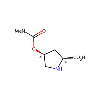 CNC(=O)O[C@@H]1CN[C@H](C(=O)O)C1